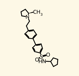 C[C@@H]1CCCN1CCc1ccc(-c2ccc(S(=O)(=O)NC3CCCC3)cc2)cc1